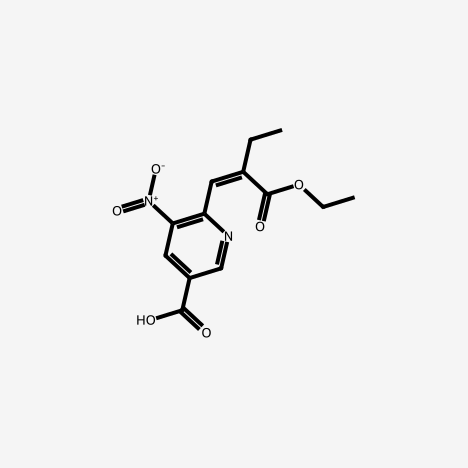 CCOC(=O)C(=Cc1ncc(C(=O)O)cc1[N+](=O)[O-])CC